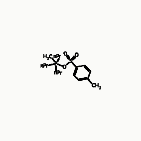 CCCP(C)(CCC)(CCC)OS(=O)(=O)c1ccc(C)cc1